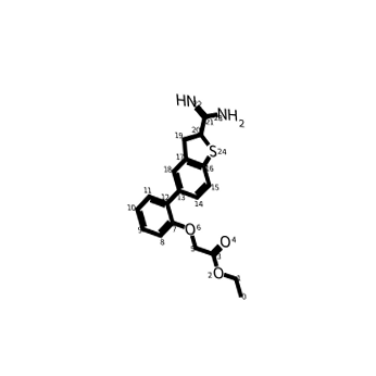 CCOC(=O)COc1ccccc1-c1ccc2c(c1)CC(C(=N)N)S2